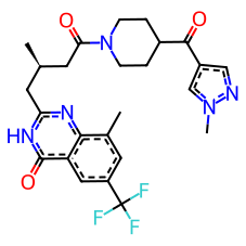 Cc1cc(C(F)(F)F)cc2c(=O)[nH]c(C[C@@H](C)CC(=O)N3CCC(C(=O)c4cnn(C)c4)CC3)nc12